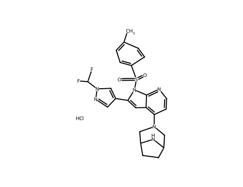 Cc1ccc(S(=O)(=O)n2c(-c3cnn(C(F)F)c3)cc3c(N4CC5CCC(C4)N5)ccnc32)cc1.Cl